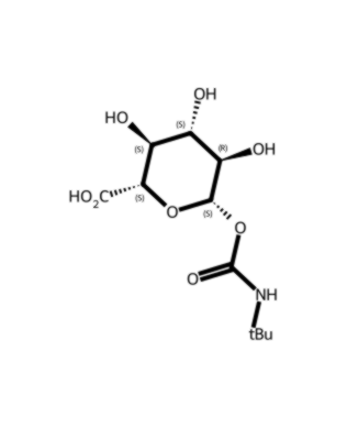 CC(C)(C)NC(=O)O[C@@H]1O[C@H](C(=O)O)[C@@H](O)[C@H](O)[C@H]1O